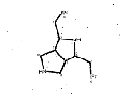 CC(C)CC1NC(CC(C)C)C2CNCC12